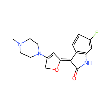 CN1CCN(C2=CC(=C3C(=O)Nc4cc(F)ccc43)OC2)CC1